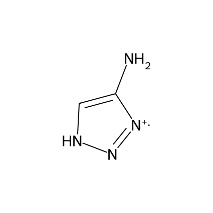 NC1=CNN=[N+]1